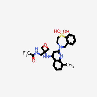 Cc1cccc2c(NC3(CNC(=O)C(F)(F)F)COC3)cc(N3CCS(O)(O)c4ccccc4C3)nc12